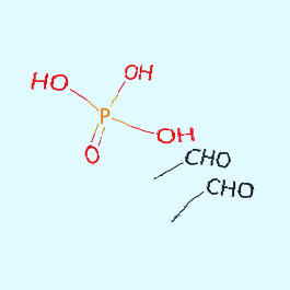 CC=O.CC=O.O=P(O)(O)O